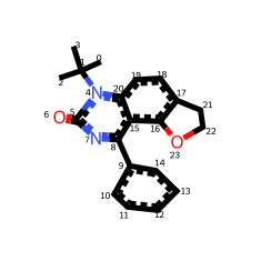 CC(C)(C)n1c(=O)nc(-c2ccccc2)c2c3c(ccc21)CCO3